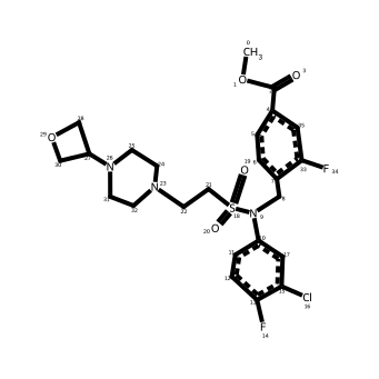 COC(=O)c1ccc(CN(c2ccc(F)c(Cl)c2)S(=O)(=O)CCN2CCN(C3COC3)CC2)c(F)c1